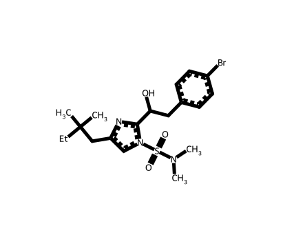 CCC(C)(C)Cc1cn(S(=O)(=O)N(C)C)c(C(O)Cc2ccc(Br)cc2)n1